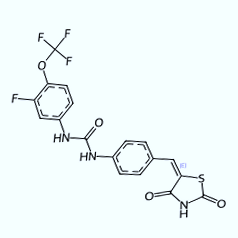 O=C(Nc1ccc(/C=C2/SC(=O)NC2=O)cc1)Nc1ccc(OC(F)(F)F)c(F)c1